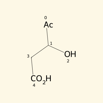 CC(=O)C(O)CC(=O)O